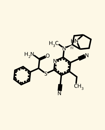 CCc1c(C#N)c(SC(C(N)=O)c2ccccc2)nc(N(C)[C@H]2CC3CCC2N3)c1C#N